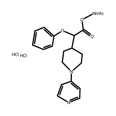 CC(=O)NOC(=O)C(Oc1ccccc1)C1CCN(c2ccncc2)CC1.Cl.Cl